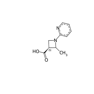 CC1[C@@H](C(=O)O)CN1c1ccccn1